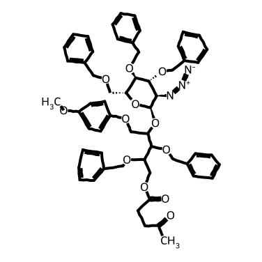 COc1ccc(OCC(O[C@H]2O[C@H](COCc3ccccc3)[C@@H](OCc3ccccc3)[C@H](OCc3ccccc3)[C@H]2N=[N+]=[N-])C(OCc2ccccc2)C(COC(=O)CCC(C)=O)OCc2ccccc2)cc1